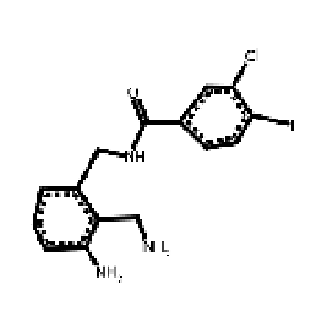 NCc1c(N)cccc1CNC(=O)c1ccc(F)c(Cl)c1